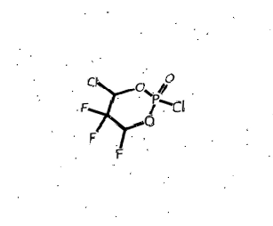 O=P1(Cl)OC(F)C(F)(F)C(Cl)O1